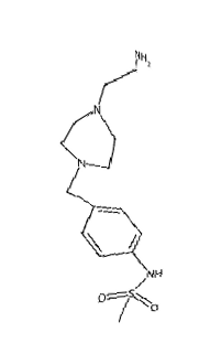 CS(=O)(=O)Nc1ccc(CN2CCN(CCN)CC2)cc1